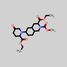 CCOC(=O)C1CC2CC(N3CC(=O)CCC3C(=O)OCC)CCC2CN1C(=O)OC